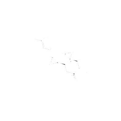 CC(C)=CC[C@H]1O[C@@H]1C1CC(=O)[C@@H](C)C[C@]12CO2